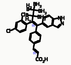 BC(B)(B)C(B)(B)/C(=C(/c1ccc(/C=C/C(=O)O)cc1)c1ccc2[nH]ncc2c1)c1ccc(Cl)cc1Cl